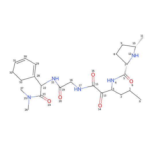 CCCC(NC(=O)[C@@H]1CC[C@H](C)N1)C(=O)C(=O)NCC(=O)NC(C(=O)N(C)C)C1=CC=CCC1